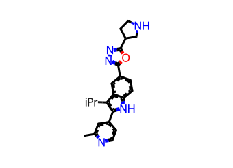 Cc1cc(-c2[nH]c3ccc(-c4nnc(C5CCNC5)o4)cc3c2C(C)C)ccn1